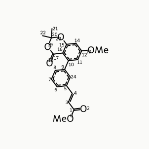 COC(=O)C=Cc1cccc(-c2cc(OC)cc3c2C(=O)OC(C)(C)O3)c1